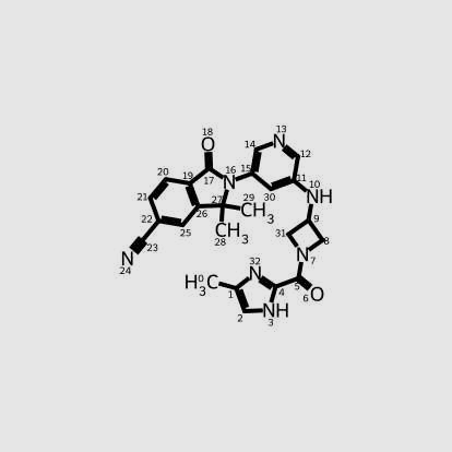 Cc1c[nH]c(C(=O)N2CC(Nc3cncc(N4C(=O)c5ccc(C#N)cc5C4(C)C)c3)C2)n1